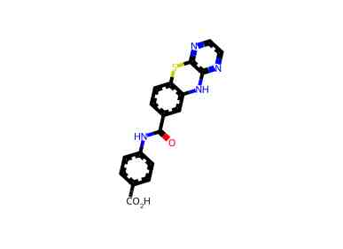 O=C(O)c1ccc(NC(=O)c2ccc3c(c2)Nc2nccnc2S3)cc1